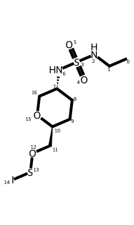 CCNS(=O)(=O)N[C@@H]1CC[C@@H](COSI)OC1